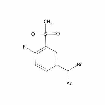 CC(=O)C(Br)c1ccc(F)c(S(C)(=O)=O)c1